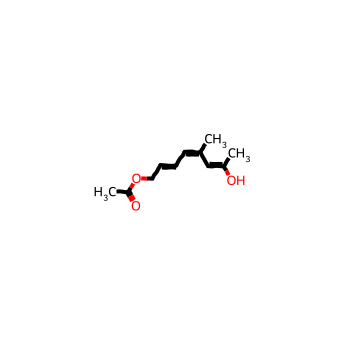 CC(=O)OC/C=C/C=C(C)\C=C(/C)O